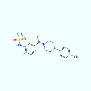 CS(=O)(=O)Nc1cc(C(=O)N2CCC(c3ccc(C#N)cc3)CC2)ccc1F